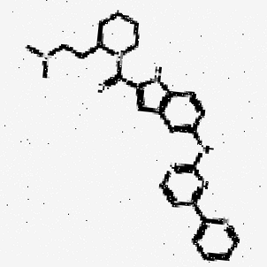 CN(C)CCC1CCCCN1C(=O)c1cc2cc(Nc3nccc(-c4ccccn4)n3)ccc2[nH]1